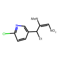 CCC(/C(=C\[N+](=O)[O-])NC)c1ccc(Cl)nc1